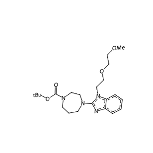 COCCOCCn1c(N2CCCN(C(=O)OC(C)(C)C)CC2)nc2ccccc21